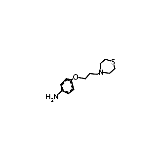 Nc1ccc(OCCCN2CCSCC2)cc1